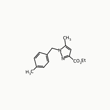 CCOC(=O)c1cc(C)n(Cc2ccc(C)cc2)n1